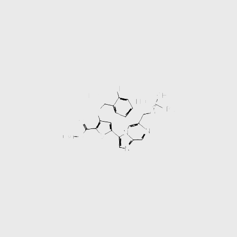 C[C@@H](Oc1cc(-c2cnc3cnc(CO[Si](C)(C)C(C)(C)C)cn23)sc1C(=O)OC(C)(C)C)c1ccccc1Cl